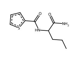 CCCC(NC(=O)c1cccs1)C(N)=O